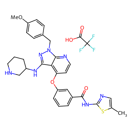 COc1ccc(Cn2nc(NC3CCCNC3)c3c(Oc4cccc(C(=O)Nc5ncc(C)s5)c4)ccnc32)cc1.O=C(O)C(F)(F)F